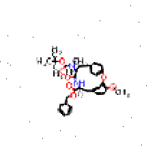 COc1ccc2cc1Oc1ccc(cc1)C[C@H](N(C)C(=O)OC(C)(C)C)C(=O)N[C@H](C(=O)OCc1ccccc1)C2